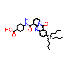 CCC[CH2][Sn]([CH2]CCC)([CH2]CCC)[c]1ccc2nc3c(C(=O)NC4CCC(C(=O)O)CC4)cccn3c(=O)c2c1